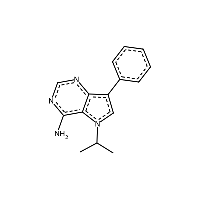 CC(C)n1cc(-c2ccccc2)c2ncnc(N)c21